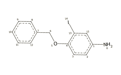 Nc1ccc(OCc2ccccc2)c(I)c1